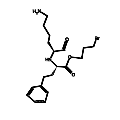 NCCCC[C@@H]([C]=O)N[C@@H](CCc1ccccc1)C(=O)OCCCBr